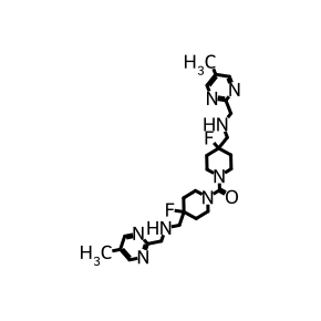 Cc1cnc(CNCC2(F)CCN(C(=O)N3CCC(F)(CNCc4ncc(C)cn4)CC3)CC2)nc1